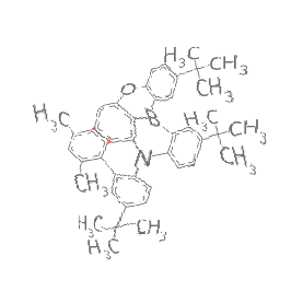 Cc1ccc(-c2cc(C(C)(C)C)ccc2N2c3ccc(C(C)(C)C)cc3B3c4cc(C(C)(C)C)ccc4Oc4cccc2c43)c(C)c1